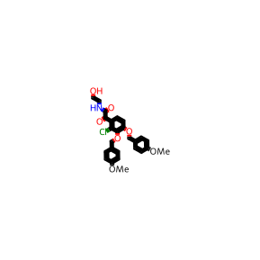 COc1ccc(COc2ccc(C(=O)C(=O)NCCO)c(Cl)c2OCc2ccc(OC)cc2)cc1